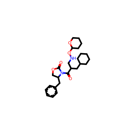 O=C1OCC(Cc2ccccc2)N1C(=O)C(CNOC1CCCCO1)CC1CCCCC1